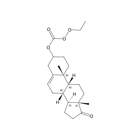 CCOOC(=O)OC1CC[C@@]2(C)C(=CC[C@@H]3[C@H]2CC[C@]2(C)C(=O)CC[C@@H]32)C1